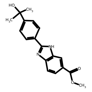 COC(=O)c1ccc2nc(-c3ccc(C(C)(C)O)cc3)[nH]c2c1